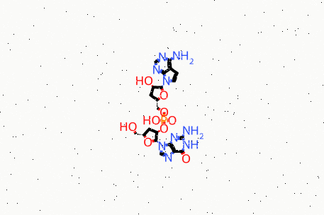 Nc1nc2c(ncn2[C@@H]2O[C@H](CO)C[C@H]2OP(=O)(O)OC[C@@H]2C[C@@H](O)[C@H](n3ccc4c(N)ncnc43)O2)c(=O)[nH]1